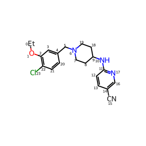 CCOc1cc(CN2CCC(Nc3ccc(C#N)cn3)CC2)ccc1Cl